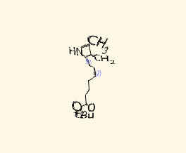 C=c1c(C)c[nH]/c1=C/C=C\CCCC(=O)OC(C)(C)C